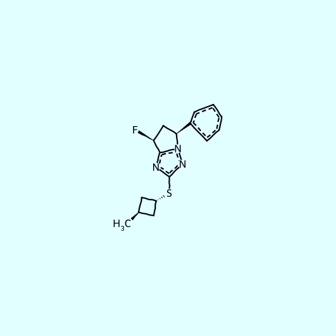 C[C@H]1C[C@H](Sc2nc3n(n2)[C@H](c2ccccc2)C[C@@H]3F)C1